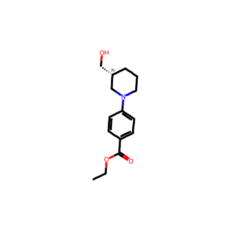 CCOC(=O)c1ccc(N2CCC[C@@H](CO)C2)cc1